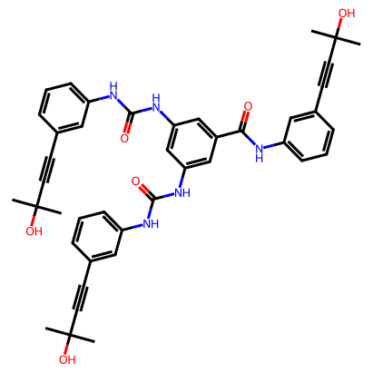 CC(C)(O)C#Cc1cccc(NC(=O)Nc2cc(NC(=O)Nc3cccc(C#CC(C)(C)O)c3)cc(C(=O)Nc3cccc(C#CC(C)(C)O)c3)c2)c1